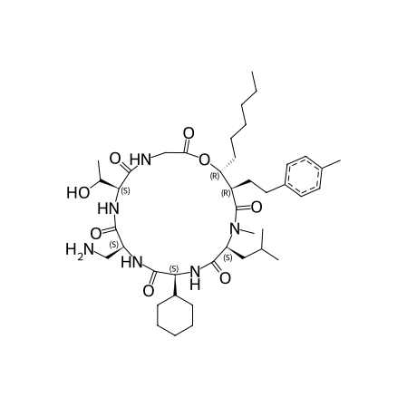 CCCCCC[C@H]1OC(=O)CNC(=O)[C@H](C(C)O)NC(=O)[C@H](CN)NC(=O)[C@H](C2CCCCC2)NC(=O)[C@H](CC(C)C)N(C)C(=O)[C@@H]1CCc1ccc(C)cc1